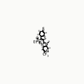 CCS(=O)(=O)c1c(-c2nc3cc(C(F)(F)F)ncc3n2C)sc2cc(F)ccc12